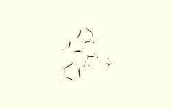 COc1cc(C2=N[C@@H](C(C)(C)C)CN2c2ccc(C)cc2)c2ncccc2c1